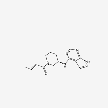 C/C=C/C(=O)N1CCC[C@@H](Nc2ncnc3[nH]ccc23)C1